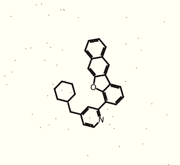 c1ccc2cc3c(cc2c1)oc1c(-c2cc(CC4CCCCC4)ccn2)cccc13